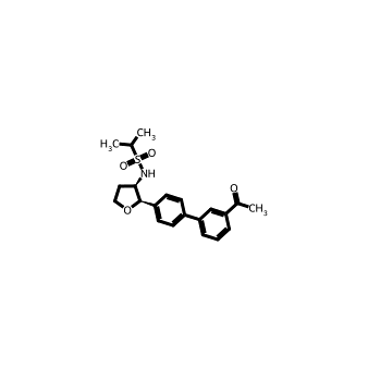 CC(=O)c1cccc(-c2ccc([C@H]3OCC[C@H]3NS(=O)(=O)C(C)C)cc2)c1